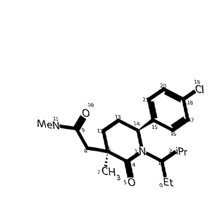 CCC(C(C)C)N1C(=O)[C@@](C)(CC(=O)NC)CC[C@H]1c1ccc(Cl)cc1